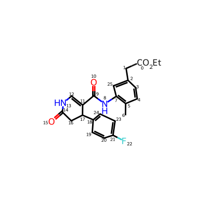 CCOC(=O)Cc1ccc(C)c(NC(=O)C2=CNC(=O)CC2c2ccc(F)cc2)c1